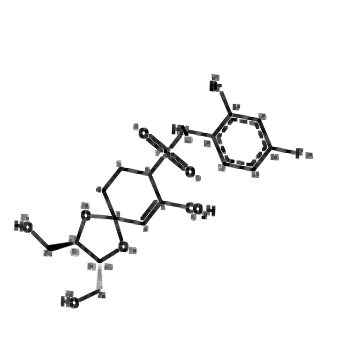 O=C(O)C1=CC2(CCC1S(=O)(=O)Nc1ccc(F)cc1Br)O[C@H](CO)[C@@H](CO)O2